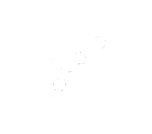 CC1=C(CC(=O)O)c2cc(Br)ccc2/C1=C/c1ccc(Oc2ccc(F)cc2)cc1